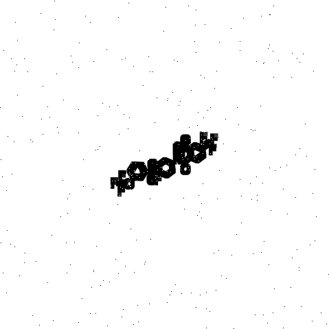 CS(=O)(=O)c1cc(C(F)(F)F)ccc1C(=O)N[C@H]1CC[C@@](F)(S(=O)(=O)c2cccc(OC(F)(F)F)c2)CC1